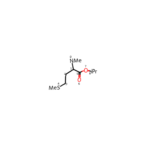 CNC(CCSC)C(=O)OC(C)C